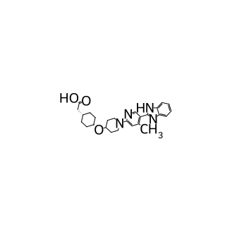 Cc1cc(N2CCC(O[C@H]3CC[C@@H](CC(=O)O)CC3)CC2)ncc1-c1nc2ccccc2[nH]1